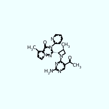 CC(=O)c1cnc(N)nc1N1C[C@H](C)[C@H]1c1nn2ccc(C)c2c(=O)n1-c1ccccn1